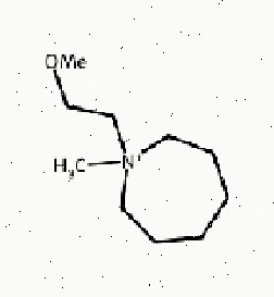 COCC[N+]1(C)CCCCCC1